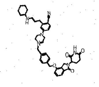 N#Cc1ccc(N2CCN(Cc3ccc(COc4cccc5c4CN(C4CCC(=O)NC4=O)C5=O)cc3)CC2)cc1CCCNC1CCCCC1